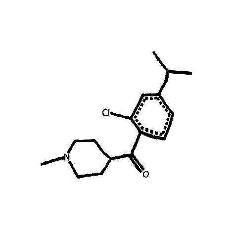 CC(C)c1ccc(C(=O)C2CCN(C)CC2)c(Cl)c1